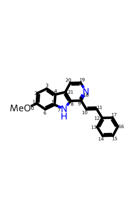 COc1ccc2c(c1)[nH]c1c(/C=C/c3ccccc3)nccc12